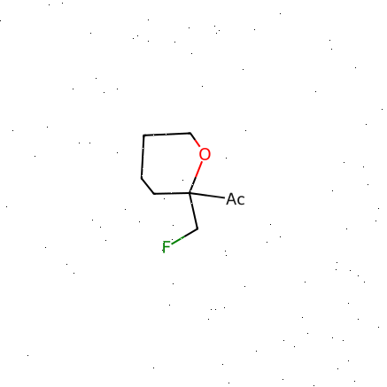 CC(=O)C1(CF)CCCCO1